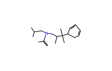 C=C(C)N(CC(C)C)CC(C)C(C)(C)C1C=CC=CC1